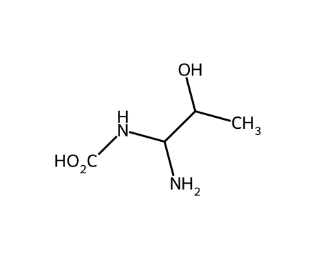 CC(O)C(N)NC(=O)O